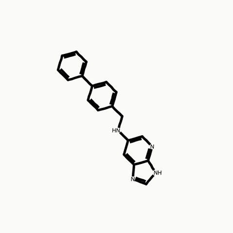 c1ccc(-c2ccc(CNc3cnc4[nH]cnc4c3)cc2)cc1